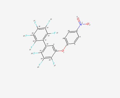 O=[N+]([O-])c1ccc(Oc2cc(-c3c(F)c(F)c(F)c(F)c3F)c(F)c(F)c2F)cc1